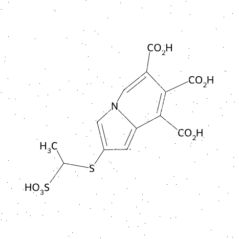 CC(Sc1[c]c2c(C(=O)O)c(C(=O)O)c(C(=O)O)cn2c1)S(=O)(=O)O